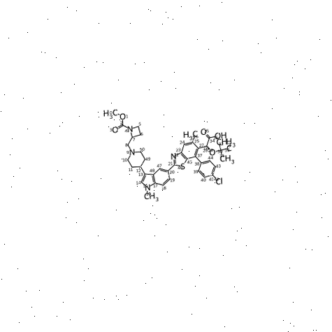 COC(=O)N1CCC1CN1CCC(c2cn(C)c3ccc(-c4nc5cc(C)c([C@H](OC(C)(C)C)C(=O)O)c(-c6ccc(Cl)cc6)c5s4)cc23)CC1